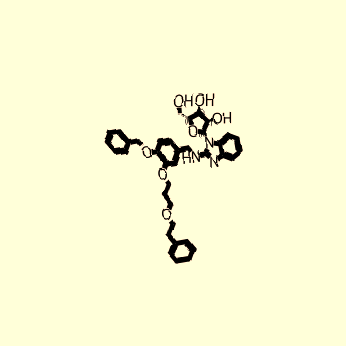 OC[C@H]1O[C@@H](n2c(NCc3ccc(OCc4ccccc4)c(OCCCOCCc4ccccc4)c3)nc3ccccc32)[C@H](O)[C@@H]1O